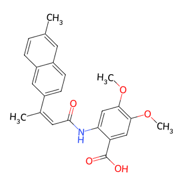 COc1cc(NC(=O)/C=C(/C)c2ccc3cc(C)ccc3c2)c(C(=O)O)cc1OC